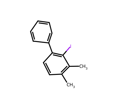 Cc1ccc(-c2ccccc2)c(I)c1C